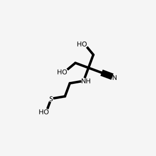 N#CC(CO)(CO)NCCSO